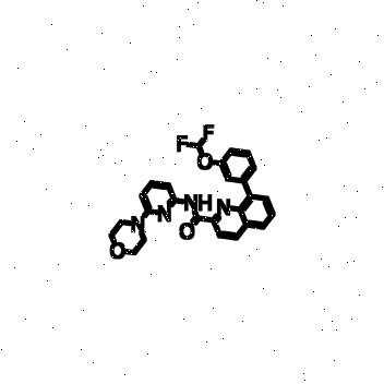 O=C(Nc1cccc(N2CCOCC2)n1)c1ccc2cccc(-c3cccc(OC(F)F)c3)c2n1